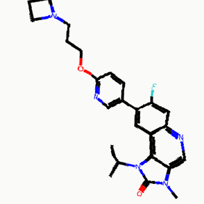 CC(C)n1c(=O)n(C)c2cnc3cc(F)c(-c4ccc(OCCCN5CCC5)nc4)cc3c21